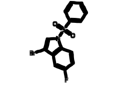 O=S(=O)(c1ccccc1)n1cc(Br)c2cc(F)ccc21